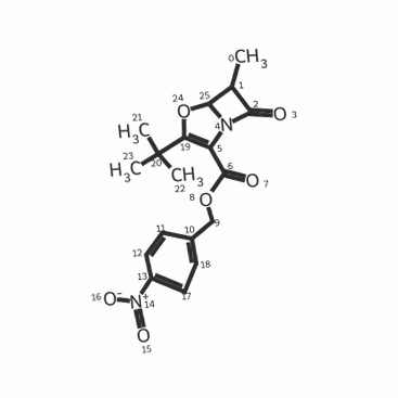 CC1C(=O)N2C(C(=O)OCc3ccc([N+](=O)[O-])cc3)=C(C(C)(C)C)OC12